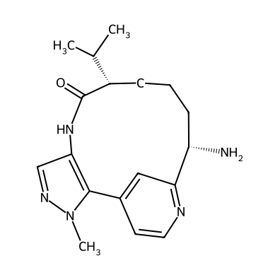 CC(C)[C@@H]1CCC[C@H](N)c2cc(ccn2)-c2c(cnn2C)NC1=O